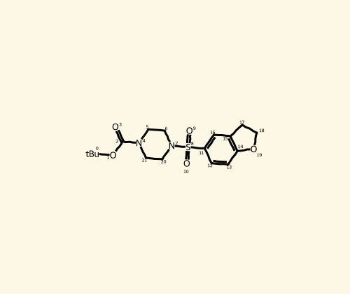 CC(C)(C)OC(=O)N1CCN(S(=O)(=O)c2ccc3c(c2)CCO3)CC1